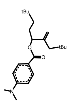 C=C(CC(C)(C)C)C(CCC(C)(C)C)OC(=O)c1ccc(N(C)C)cc1